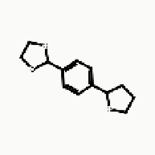 c1cc(C2OCCO2)ccc1C1CCCO1